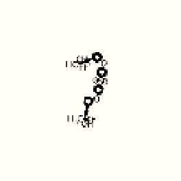 CCC(C)(O)C#Cc1cccc(Oc2ccc(S(=O)(=O)c3ccc(Oc4cccc(C#CC(C)(O)CC)c4)cc3)cc2)c1